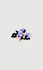 CCC(NC(=O)N1C(=O)[C@H](Cc2cc(C)nc(N)c2)[C@H]1C(=O)N(C)c1ccnn1C)c1ccc(C)cc1